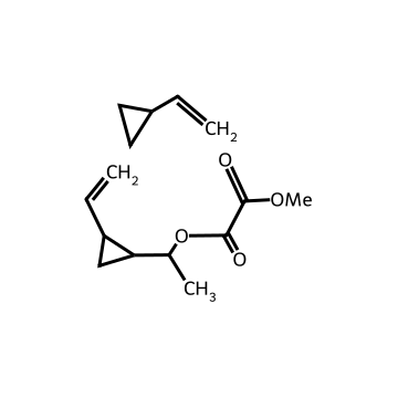 C=CC1CC1.C=CC1CC1C(C)OC(=O)C(=O)OC